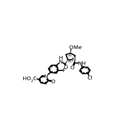 CO[C@@H]1C[C@H](C(=O)Nc2ccc(-n3cc(C(=O)O)ccc3=O)cc2F)N(C(=O)Nc2ccc(Cl)cc2)C1